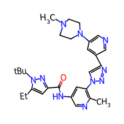 CCc1cc(C(=O)Nc2cnc(C)c(-n3cc(-c4cncc(N5CCN(C)CC5)c4)nn3)c2)nn1C(C)(C)C